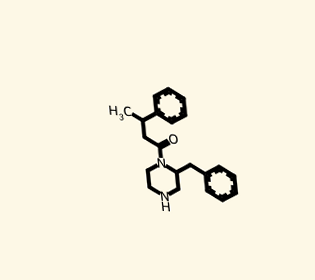 CC(CC(=O)N1CCNCC1Cc1ccccc1)c1ccccc1